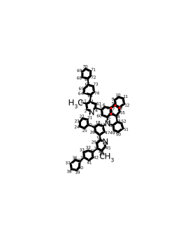 Cc1cnc(-c2cc(-c3ccccc3)cc(N(c3cc(-c4ccccc4)cc(-c4cc(-c5ccc(-c6ccccc6)cc5)c(C)cn4)c3)c3ccccc3-c3ccccc3)c2)cc1-c1ccc(-c2ccccc2)cc1